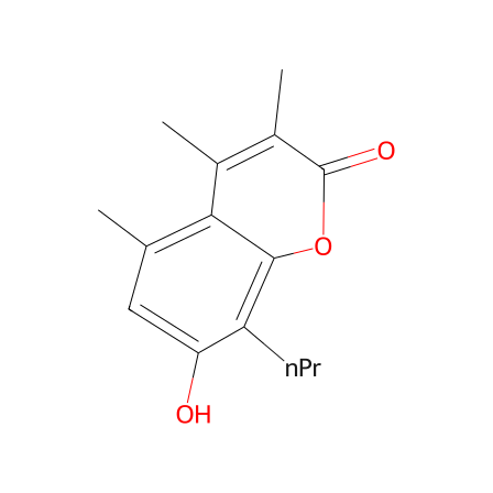 CCCc1c(O)cc(C)c2c(C)c(C)c(=O)oc12